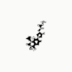 Cc1c(N2C[C@H](CNC(=O)OC(C)(C)C)[C@@H](F)C2)c(F)cc2c(=O)n(N)c(=O)n(C3CC3)c12